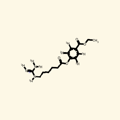 [2H]/N=C(\N([2H])[2H])N([2H])CCCCCC(=O)Oc1c([2H])c([2H])c(C(=O)OCC)c([2H])c1[2H]